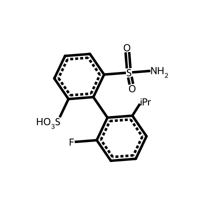 CC(C)c1cccc(F)c1-c1c(S(N)(=O)=O)cccc1S(=O)(=O)O